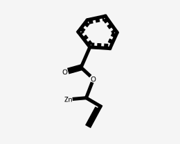 C=C[CH]([Zn])OC(=O)c1ccccc1